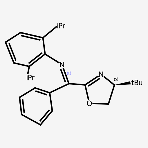 CC(C)c1cccc(C(C)C)c1/N=C(/C1=N[C@@H](C(C)(C)C)CO1)c1ccccc1